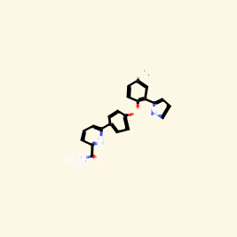 Cn1cccc1-c1cc(C#N)ccc1Oc1ccc(-c2cccc(C(N)=O)n2)cc1